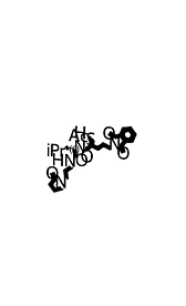 CC(=O)SC(CCCN1C(=O)c2ccccc2C1=O)C(=O)N[C@@H](CC(C)C)C(=O)NCCCN1CCCC1=O